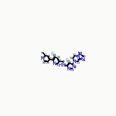 Cc1cc(-c2ncc(CNc3ncnc(N4CCn5ncnc5C4)c3F)cc2F)ccn1